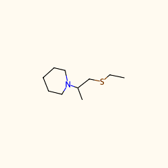 CCSCC(C)N1CCCCC1